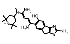 CN(/C(N)=C/C=C(\N)c1cc2c(cc1O)-c1nc(N)sc1C2)C1CC(C)(C)NC(C)(C)C1